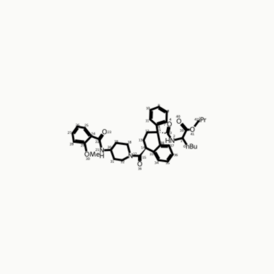 CCCCC(NC(=O)[C@@]1(c2ccccc2)CC[C@H](C(=O)N2CCC(NC(=O)c3ccccc3OC)CC2)c2ccccc21)C(=O)OC(C)C